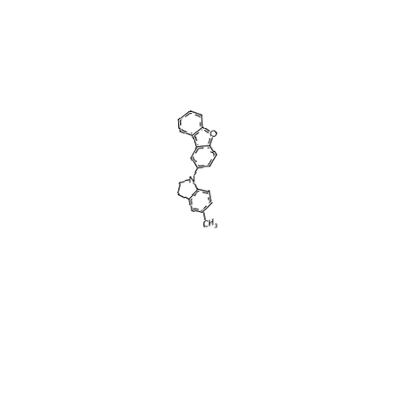 Cc1ccc2c(c1)CCN2c1ccc2oc3ccccc3c2c1